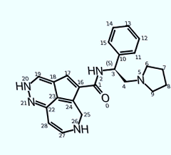 O=C(N[C@H](CN1CCCC1)c1ccccc1)c1cc2c[nH]nc3c-2c1CNC=C3